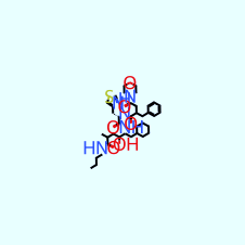 CCCCNC(=O)C(C)CC(O)C(CC1CCCCC1)NC(=O)[C@H](Cc1cscn1)NC(=O)C(CC(=O)N1CCOCC1)Cc1ccccc1